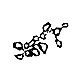 c1ccc(-c2cc(-c3ccccc3)cc(-n3c4ccccc4c4cc(-c5ccc6c(c5)C(c5ccccc5)(c5ccccc5)c5cc([Si](c7ccccc7)(c7ccccc7)c7ccccc7)ccc5-6)ccc43)c2)cc1